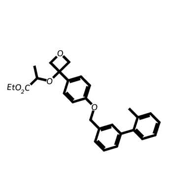 CCOC(=O)C(C)OC1(c2ccc(OCc3cccc(-c4ccccc4C)c3)cc2)COC1